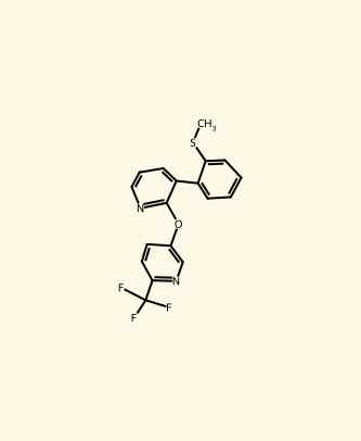 CSc1ccccc1-c1cccnc1Oc1ccc(C(F)(F)F)nc1